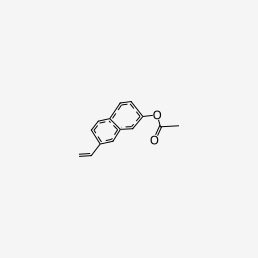 C=Cc1ccc2ccc(OC(C)=O)cc2c1